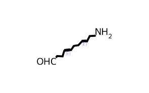 NCC/C=C/CC/C=C/CCC=O